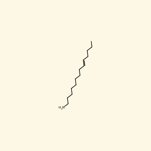 CCCCC=CCCCCCCCCN